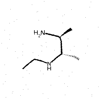 CCN[C@@H](C)[C@H](C)N